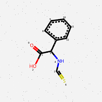 O=C(O)C(NC=S)c1ccccc1